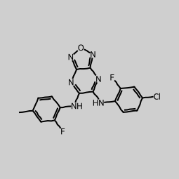 Cc1ccc(Nc2nc3nonc3nc2Nc2ccc(Cl)cc2F)c(F)c1